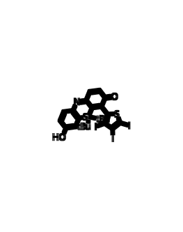 CC(C)(C)[Si]1(C(C)(C)C)C2=C(c3sc(I)c(I)c3I)C(=O)C=CC2=Nc2ccc(O)cc21